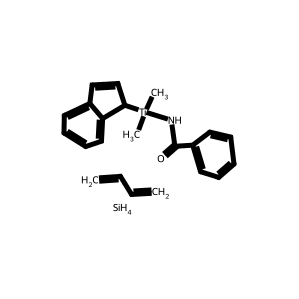 C=CC=C.[CH3][Ti]([CH3])([NH]C(=O)c1ccccc1)[CH]1C=Cc2ccccc21.[SiH4]